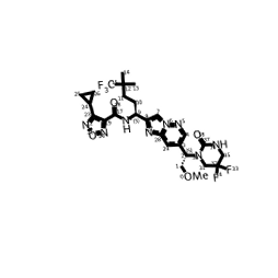 COC[C@H](c1cnn2cc([C@H](CCC(C)(C)C(F)(F)F)NC(=O)c3nonc3C3CC3)nc2c1)N1CC(F)(F)CNC1=O